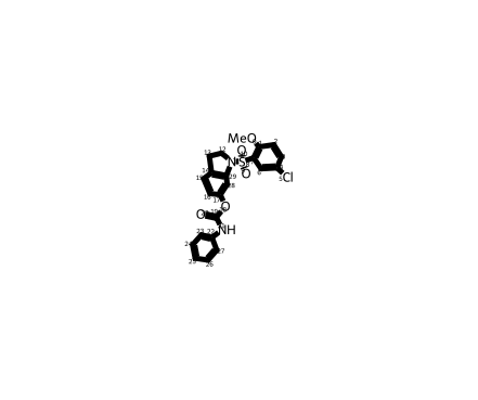 COc1ccc(Cl)cc1S(=O)(=O)N1CCc2ccc(OC(=O)Nc3ccccc3)cc21